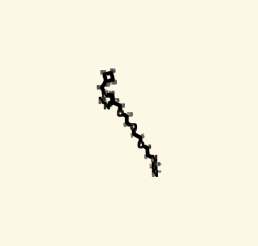 [N-]=[N+]=NCCOCCOCCOCc1cn(CC2CCC2)nn1